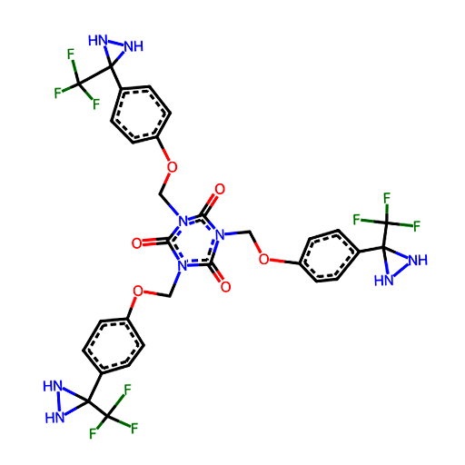 O=c1n(COc2ccc(C3(C(F)(F)F)NN3)cc2)c(=O)n(COc2ccc(C3(C(F)(F)F)NN3)cc2)c(=O)n1COc1ccc(C2(C(F)(F)F)NN2)cc1